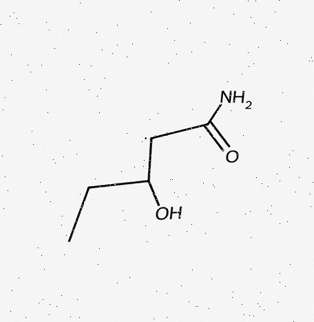 CCC(O)[CH]C(N)=O